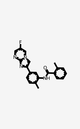 Cc1ccc(-c2cn3cc(F)cnc3n2)cc1NC(=O)c1ccccc1C